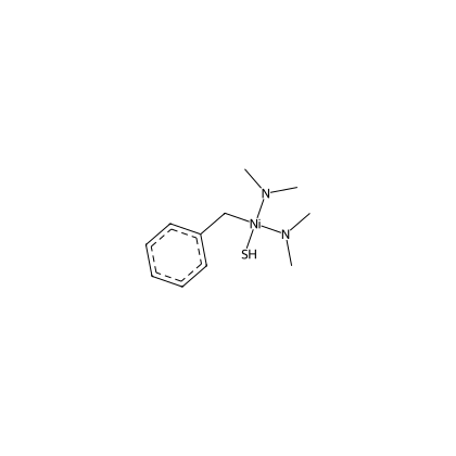 C[N](C)[Ni]([SH])([CH2]c1ccccc1)[N](C)C